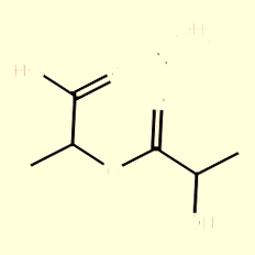 CC(O)C(=O)OC(C)C(=O)O.N.[CaH2]